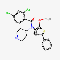 O=C(O)Oc1sc(-c2ccccc2)cc1N(C(=O)c1ccc(Cl)cc1Cl)C1CCNCC1